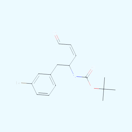 CC(C)(C)OC(=O)NC(/C=C\C=O)Cc1cccc(Br)c1